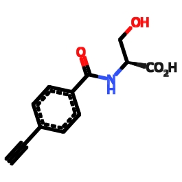 C#Cc1ccc(C(=O)N[C@@H](CO)C(=O)O)cc1